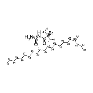 CCC(Br)(CC)C(=O)NC(N)=O.CCCCCCCCCCCCCCCCCCC(C)CCC